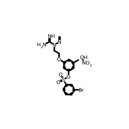 C=NN(CCOc1cc(C)cc(OS(=O)(=O)c2cccc(Br)c2)c1)C(=N)N.O=[N+]([O-])O